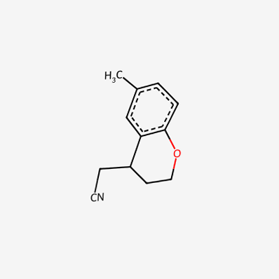 Cc1ccc2c(c1)C(CC#N)CCO2